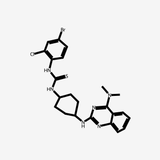 CN(C)c1nc(NC2CCC(NC(=S)Nc3ccc(Br)cc3Cl)CC2)nc2ccccc12